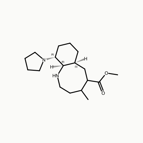 COC(=O)C1C[C@@H]2CCC[C@@H](N3CCCC3)[C@@H]2NCCC1C